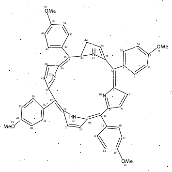 COc1ccc(C2=C3C=CC(=N3)C(c3ccc(OC)cc3)=c3ccc([nH]3)=C(c3ccc(OC)cc3)C3=NC(=C(c4ccc(OC)cc4)C4CC=C2N4)C=C3)cc1